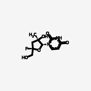 C[C@@]1(O)C[C@@](F)(CO)O[C@H]1n1ccc(=O)[nH]c1=O